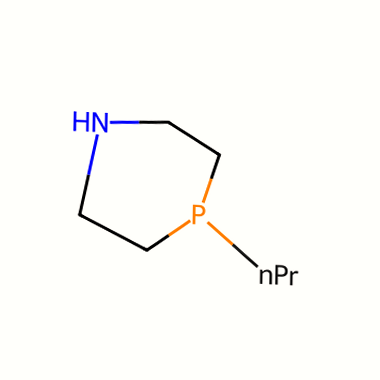 CCCP1CCNCC1